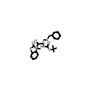 CC(C)(C)OC(=O)N[C@@H](CSCc1ccccc1)C(=O)[N+]1(C)C(=O)Sc2ccccc21